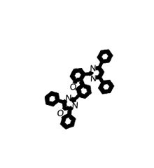 c1ccc(-c2cc(-c3ccccc3)nc(-c3cccc4oc5c(-c6nc(-c7ccccc7)c7oc8ccccc8c7n6)cccc5c34)n2)cc1